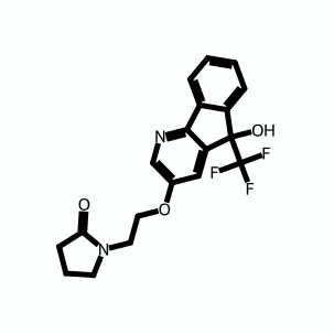 O=C1CCCN1CCOc1cnc2c(c1)C(O)(C(F)(F)F)c1ccccc1-2